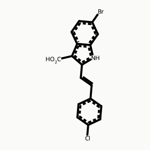 O=C(O)c1c(C=Cc2ccc(Cl)cc2)[nH]c2cc(Br)ccc12